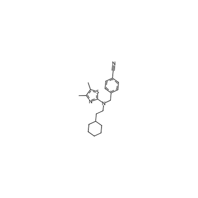 Cc1nc(N(CCC2CCCCC2)Cc2ccc(C#N)cc2)sc1C